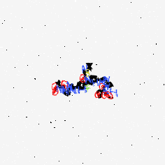 COC(=O)NC(C(=O)N1CCC[C@H]1c1ncc(-c2cc(F)c3c(c2)OC(c2cnc(C4(C)CC4)s2)n2c-3cc3cc(-c4cnc([C@@H]5CCCN5C(=O)C(NC(=O)OC)C5CCOC(C)(C)C5)[nH]4)ccc32)[nH]1)C(C)C